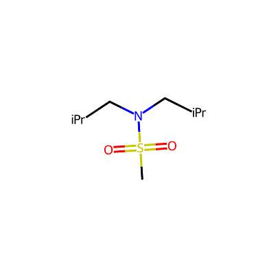 CC(C)CN(CC(C)C)S(C)(=O)=O